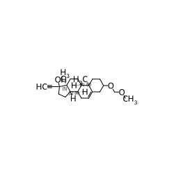 C#CC1(O)CC[C@H]2[C@@H]3CC=C4CC(OCOC)CC[C@]4(C)[C@@H]3CC[C@@]21C